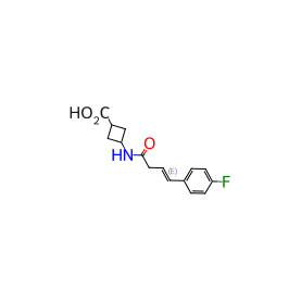 O=C(C/C=C/c1ccc(F)cc1)NC1CC(C(=O)O)C1